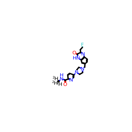 [2H]C([2H])([2H])NC(=O)c1ccc(N2CCN(Cc3ccc4nc(CCF)c(=O)[nH]c4c3)CC2)cn1